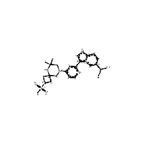 CC1(C)CN(c2ccnc(-c3cnc4ccc(C(F)F)cn34)n2)CC2(CN(S(C)(=O)=O)C2)O1